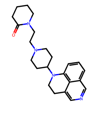 O=C1CCCCN1CCN1CCC(N2CCc3cncc4cccc2c34)CC1